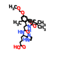 COCOc1cc(C)c(C(CC(=O)NC(CCCC(=O)O)c2ncc[nH]2)NC(=O)OC(C)(C)C)c(C)c1